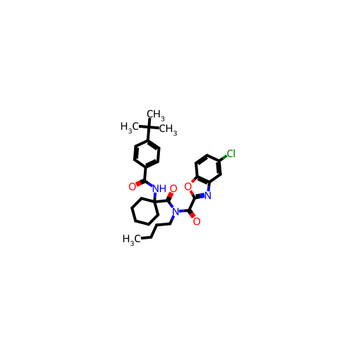 CCCCN(C(=O)c1nc2cc(Cl)ccc2o1)C(=O)C1(NC(=O)c2ccc(C(C)(C)C)cc2)CCCCC1